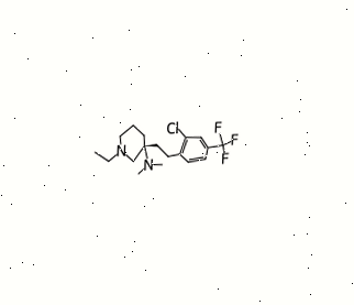 CCN1CCC[C@](CCc2ccc(C(F)(F)F)cc2Cl)(N(C)C)C1